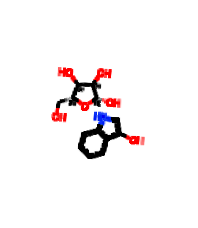 OC[C@H]1O[C@@H](O)[C@H](O)[C@@H]1O.Oc1c[nH]c2ccccc12